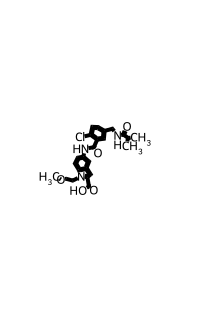 COCCn1c(C(=O)O)cc2cc(NC(=O)c3cc(CNC(=O)C(C)C)ccc3Cl)ccc21